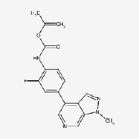 C=C(C)OC(=O)Nc1ccc(-c2cncc3c2cnn3C)cc1F